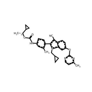 Cc1ccnc(Oc2ccc3c(C#N)c(-c4ccc(NC(=O)O[C@H](C)C5CC5)cc4C)n(CC4CC4)c3c2)n1